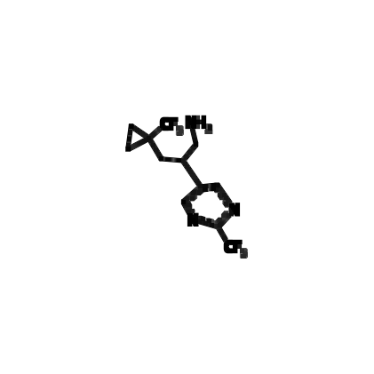 NCC(CC1(C(F)(F)F)CC1)c1cnc(C(F)(F)F)nc1